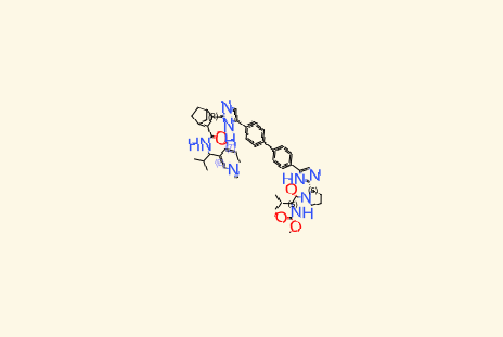 C=N/C=C(\C=C/C)C(NC(=O)C1C2CCC(C2)[C@H]1c1ncc(-c2ccc(-c3ccc(-c4cnc([C@@H]5CCCN5C(=O)[C@@H](NC(=O)OC)C(C)C)[nH]4)cc3)cc2)[nH]1)C(C)C